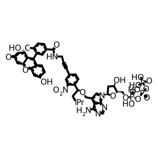 CC(C)CC(OCc1cn([C@H]2C[C@@H](O)[C@@H](COP(=O)(O)OP(=O)(O)OP(=O)(O)O)O2)c2ncnc(N)c12)c1ccc(C#CCNC(=O)c2ccc(C(=O)O)c(-c3c4ccc(=O)cc-4oc4cc(O)ccc34)c2)cc1[N+](=O)[O-]